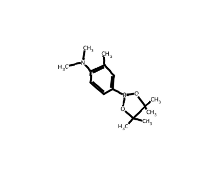 Cc1cc(B2OC(C)(C)C(C)(C)O2)ccc1N(C)C